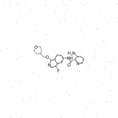 Nc1cccnc1C(=O)Nc1ccc2c(OCC3CCOCC3)ncc(F)c2c1